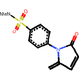 C=C1C=CC(=O)N1c1ccc(S(=O)(=O)NC)cc1